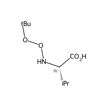 CC(C)[C@H](NOOC(C)(C)C)C(=O)O